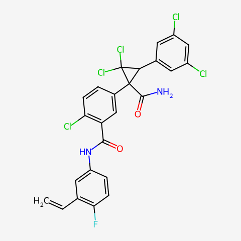 C=Cc1cc(NC(=O)c2cc(C3(C(N)=O)C(c4cc(Cl)cc(Cl)c4)C3(Cl)Cl)ccc2Cl)ccc1F